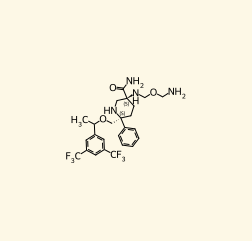 CC(OC[C@@]1(c2ccccc2)CC[C@@](NCOCN)(C(N)=O)CN1)c1cc(C(F)(F)F)cc(C(F)(F)F)c1